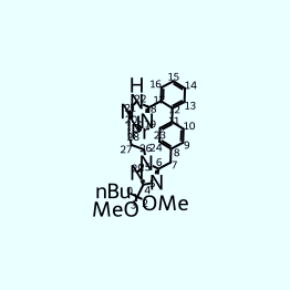 CCCCC(OC)(OC)c1nc(Cc2ccc(-c3ccccc3-c3nnn[nH]3)cc2)n(CCC(C)C)n1